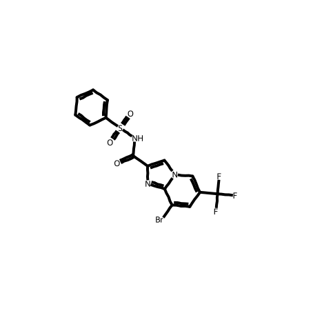 O=C(NS(=O)(=O)c1ccccc1)c1cn2cc(C(F)(F)F)cc(Br)c2n1